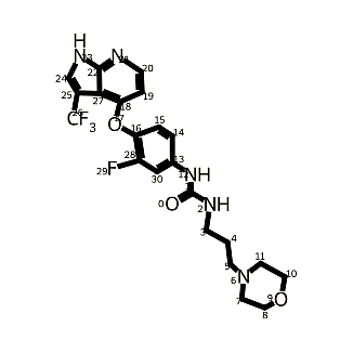 O=C(NCCCN1CCOCC1)Nc1ccc(Oc2ccnc3[nH]cc(C(F)(F)F)c23)c(F)c1